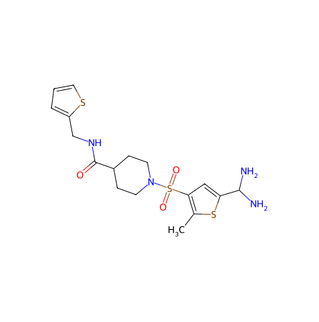 Cc1sc(C(N)N)cc1S(=O)(=O)N1CCC(C(=O)NCc2cccs2)CC1